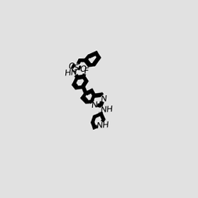 O=S(=O)(Cc1ccccc1)Nc1ccc(-c2ccc3nc(N[C@H]4CCCNC4)ncc3c2)cc1F